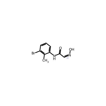 Cc1c(Br)cccc1NC(=O)/C=N\O